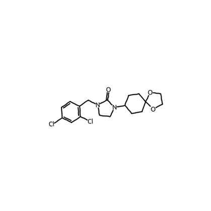 O=C1N(Cc2ccc(Cl)cc2Cl)CCN1C1CCC2(CC1)OCCO2